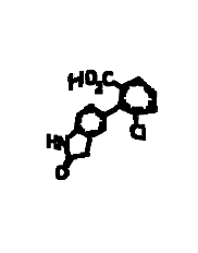 O=C1Cc2cc(-c3c(Cl)cccc3C(=O)O)ccc2N1